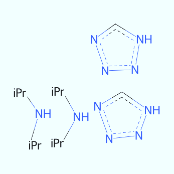 CC(C)NC(C)C.CC(C)NC(C)C.c1nnn[nH]1.c1nnn[nH]1